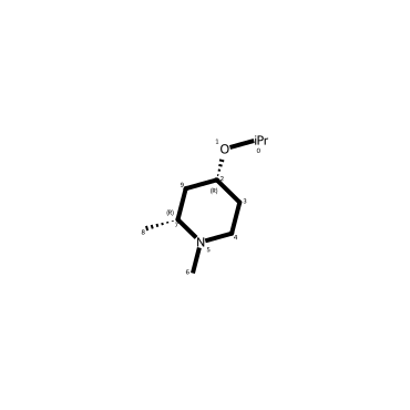 CC(C)O[C@@H]1CCN(C)[C@H](C)C1